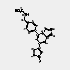 Cn1cc(-c2cc(-c3ccc(CNC(=O)O)cc3)n3cnnc3c2)cn1